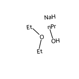 CCCO.CCOCC.[NaH]